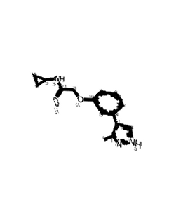 Cc1n[nH]cc1-c1c[c]cc(OCC(=O)NC2CC2)c1